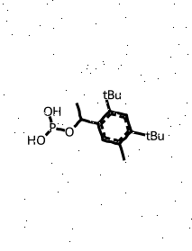 Cc1cc(C(C)OP(O)O)c(C(C)(C)C)cc1C(C)(C)C